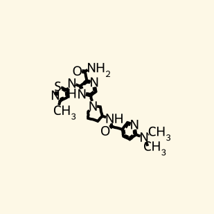 Cc1cc(Nc2nc(N3CCCC(NC(=O)c4ccc(N(C)C)nc4)C3)cnc2C(N)=O)sn1